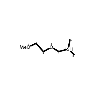 [CH2][SH](C)COCCOC